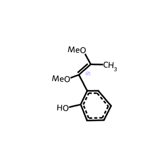 CO/C(C)=C(\OC)c1ccccc1O